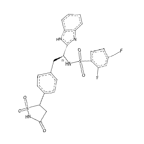 O=C1CC(c2ccc(C[C@H](NS(=O)(=O)c3ccc(F)cc3F)c3nc4ccccc4[nH]3)cc2)S(=O)(=O)N1